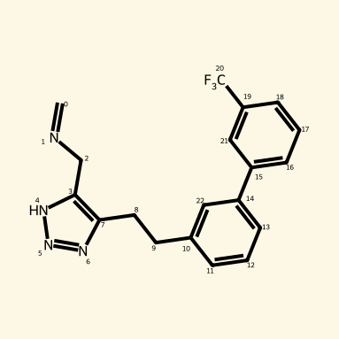 C=NCc1[nH]nnc1CCc1cccc(-c2cccc(C(F)(F)F)c2)c1